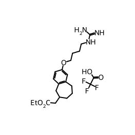 CCOC(=O)CC1CCCc2cc(OCCCCNC(=N)N)ccc2C1.O=C(O)C(F)(F)F